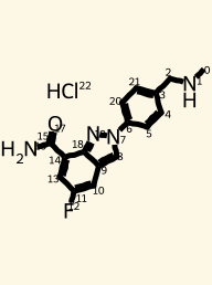 CNCc1ccc(-n2cc3cc(F)cc(C(N)=O)c3n2)cc1.Cl